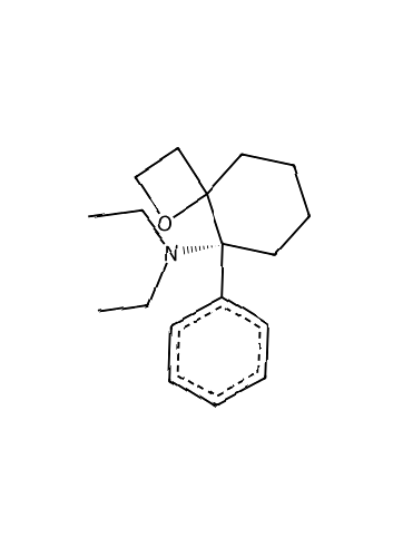 CCN(CC)[C@@]1(c2ccccc2)CCCCC12CCO2